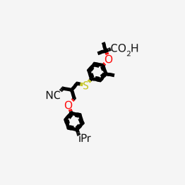 Cc1cc(SCC(CC#N)COc2ccc(C(C)C)cc2)ccc1OC(C)(C)C(=O)O